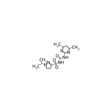 Cc1cc(C)nc(NC(=O)NS(=O)(=O)c2ccn(C(C)C)n2)n1